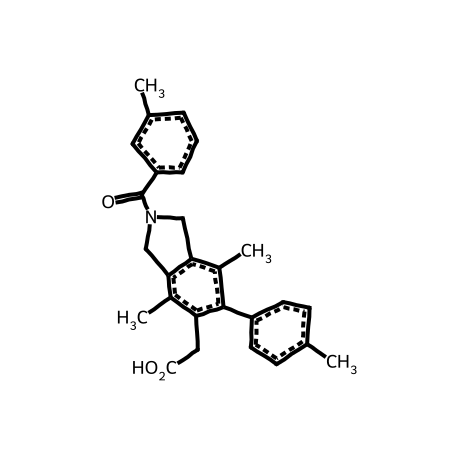 Cc1ccc(-c2c(C)c3c(c(C)c2CC(=O)O)CN(C(=O)c2cccc(C)c2)C3)cc1